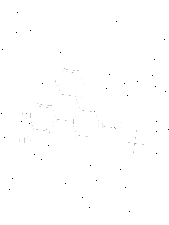 CC(C)(C)OC(=O)N1CCN(c2ccnc(Cl)n2)C(c2ccccc2)C1